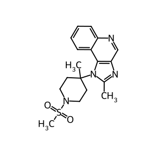 Cc1nc2cnc3ccccc3c2n1C1(C)CCN(S(C)(=O)=O)CC1